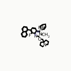 C=N/C(=C1/C=CC(c2cccc3ccccc23)=C(F)/C1=N/COCC12CCCN1CCC2)N1CC2CC(C1)N2